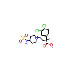 COC(=O)C(C)(CCN1CCC(NS(C)(=O)=O)CC1)c1ccc(Cl)c(Cl)c1